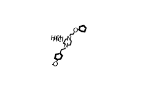 COc1ccc(CCN2CCN(CCOc3ccccc3)CC2)cc1.Cl.Cl